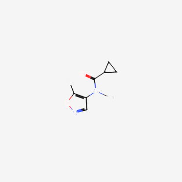 Cc1oncc1N(C(=O)C1CC1)C(C)C